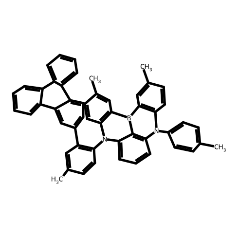 Cc1ccc(N2c3ccc(C)cc3B3c4cc(C)ccc4N(c4ccc(C)cc4-c4ccc5c6ccccc6c6ccccc6c5c4)c4cccc2c43)cc1